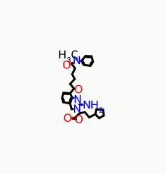 CN(C(=O)CCCCC(=O)c1cccc2c1N=C(N)N(C1(CCC3CCCC3)OC1=O)C2)c1ccccc1